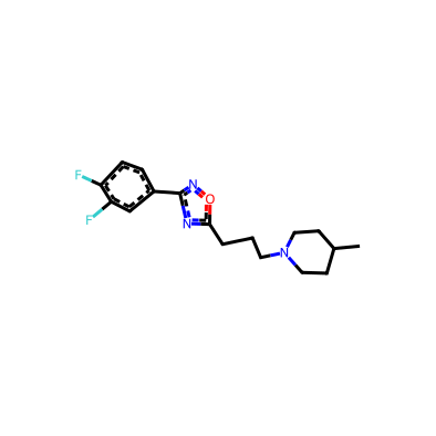 CC1CCN(CCCc2nc(-c3ccc(F)c(F)c3)no2)CC1